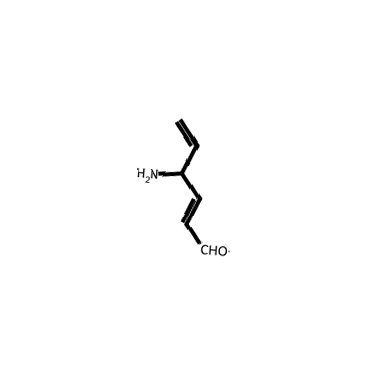 C=CC(N)C=C[C]=O